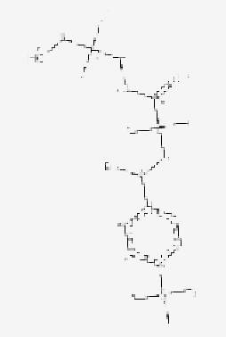 CC(C)(CC(Br)c1ccc([Si](C)(C)C)cc1)C(=O)OCC(F)(F)CO